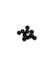 c1ccc(-c2cccc(N(c3cccc(-c4ccccc4)c3)c3ccc4c5ccccc5c5ccc(-c6nc(-c7ccccc7)nc(-c7ccccc7)n6)cc5c4c3)c2)cc1